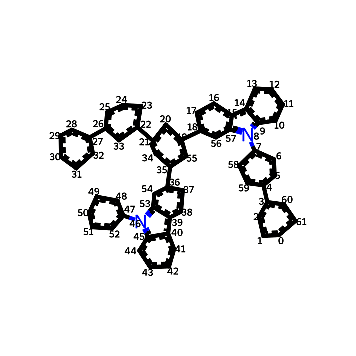 c1ccc(-c2ccc(-n3c4ccccc4c4ccc(-c5cc(-c6cccc(-c7ccccc7)c6)cc(-c6ccc7c8ccccc8n(-c8ccccc8)c7c6)c5)cc43)cc2)cc1